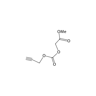 C#CCOC(=O)OCC(=O)OC